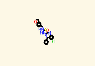 CN1C(=O)C(NC(=S)NCc2ccc3c(c2)CCO3)N=C(c2ccccc2)c2cc(Cl)ccc21